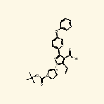 CCc1c(C(=O)O)c(-c2ccc(Oc3ccccc3)cc2)nn1[C@@H]1CCN(C(=O)OC(C)(C)C)C1